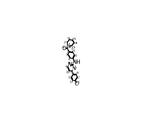 O=C(c1ccc(Nc2nccc(-c3ccc(Cl)cc3)n2)cc1)N1CCCCC1